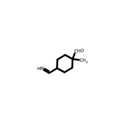 CC1(C=O)CCC(C=N)CC1